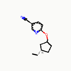 CC[C@H]1CCC(Oc2ccc(C#N)cn2)C1